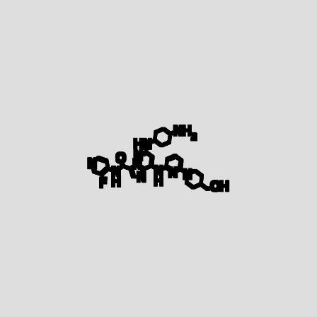 NC1CCC(Nc2cc(Nc3cccc(N4CCC(CO)CC4)n3)c3ncc(C(=O)Nc4ccncc4F)n3n2)CC1